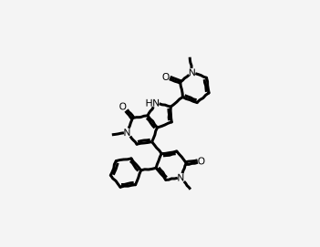 Cn1cc(-c2ccccc2)c(-c2cn(C)c(=O)c3[nH]c(-c4cccn(C)c4=O)cc23)cc1=O